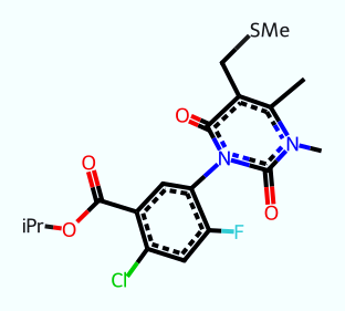 CSCc1c(C)n(C)c(=O)n(-c2cc(C(=O)OC(C)C)c(Cl)cc2F)c1=O